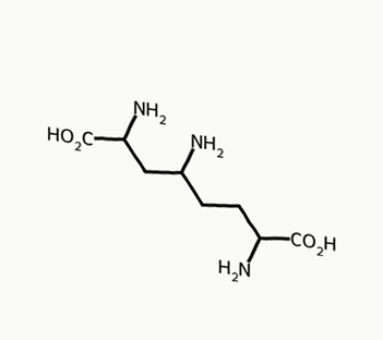 NC(CCC(N)C(=O)O)CC(N)C(=O)O